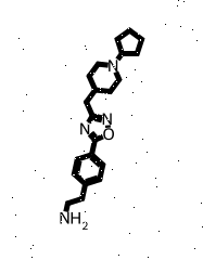 NCCc1ccc(-c2nc(CC3CCN(C4CCCC4)CC3)no2)cc1